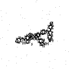 CC(C)N1CCC2(CCC(c3ccc(Cl)cc3)=C(CN3CCN(c4ccc(C(=O)NS(=O)(=O)c5ccc(NCC6CCOCC6)c(C(F)(F)F)c5)c(Oc5cnc6[nH]ccc6c5)c4)CC3)C2)CC1